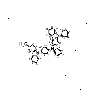 C=C/C=C\c1c(C)c2ccccc2n1-c1ccc(-n2c3ccccc3c3cc4c(cc32)c2ccccc2n4-c2ccccc2)cc1